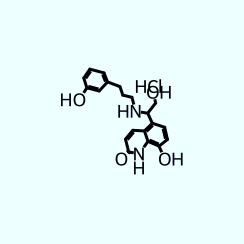 Cl.O=c1ccc2c(C(CO)NCCCc3cccc(O)c3)ccc(O)c2[nH]1